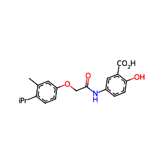 Cc1cc(OCC(=O)Nc2ccc(O)c(C(=O)O)c2)ccc1C(C)C